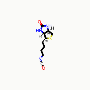 O=C=NCCCC[C@@H]1SC[C@@H]2NC(=O)N[C@@H]21